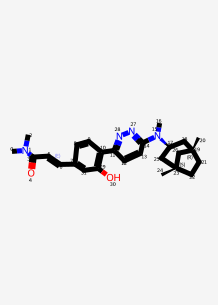 CN(C)C(=O)/C=C/c1ccc(-c2ccc(N(C)[C@H]3C[C@]4(C)CC[C@](C)(C3)C4)nn2)c(O)c1